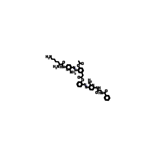 CC(=O)Oc1ccc(CC(=O)Oc2ccccc2/N=N/c2ccc(NC(=O)CNC(=O)c3ccccc3)nc2N)cc1/N=N/c1ccc(NC(=O)[C@@H](N)CCCCN)nc1N